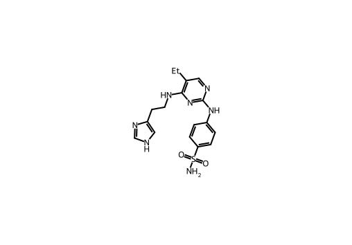 CCc1cnc(Nc2ccc(S(N)(=O)=O)cc2)nc1NCCc1c[nH]cn1